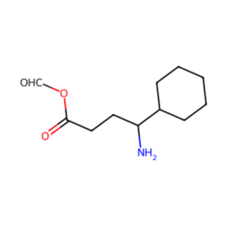 NC(CCC(=O)OC=O)C1CCCCC1